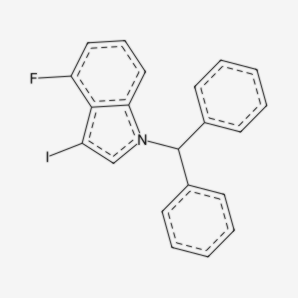 Fc1cccc2c1c(I)cn2C(c1ccccc1)c1ccccc1